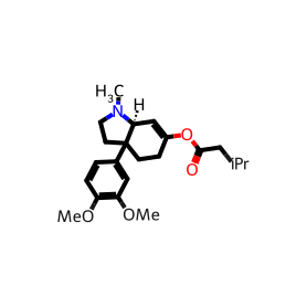 COc1ccc(C23CCC(OC(=O)CC(C)C)=C[C@@H]2N(C)CC3)cc1OC